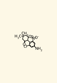 CC1(C)CC(=O)C(c2c(Cl)cc(N)cc2[N+](=O)[O-])C(=O)C1